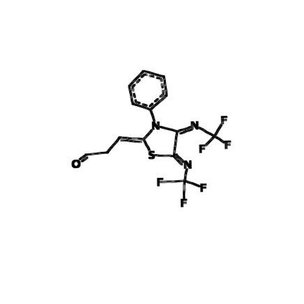 O=CCC=C1SC(=NC(F)(F)F)C(=NC(F)(F)F)N1c1ccccc1